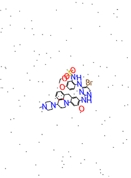 COc1cc(N2CCC(N3CCN(C)CC3)CC2)c(Cc2ccccc2)cc1Nc1ncc(Br)c(Nc2ccc3c(c2N(C)S(C)(=O)=O)OCCO3)n1